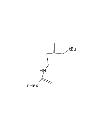 C=C(CCNC(=C)CCCCCC)CC(C)(C)C